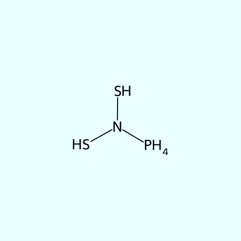 [PH4]N(S)S